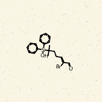 CC(C)(CC/C=C(\Br)C=O)[Si](O)(c1ccccc1)c1ccccc1